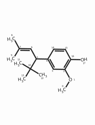 COc1cc(C(C=C(C)C)C(C)(C)C)ccc1O